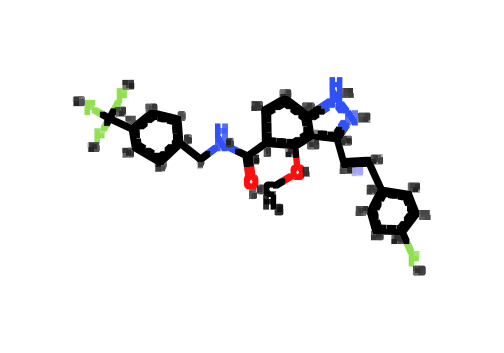 COc1c(C(=O)NCc2ccc(C(F)(F)F)cc2)ccc2[nH]nc(/C=C/c3ccc(F)cc3)c12